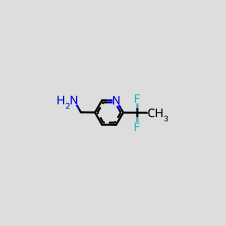 CC(F)(F)c1ccc(CN)cn1